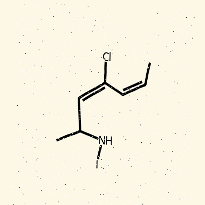 C/C=C\C(Cl)=C/C(C)NI